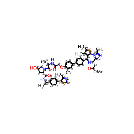 COC(=O)C[C@@H]1N=C(c2ccc(-c3ccc(OCC(=O)NC(C(=O)N4C[C@H](O)C[C@H]4C(=O)N[C@@H](C)c4ccc(-c5scnc5C)cc4)C(C)(C)C)c(C#N)c3)cc2)c2c(sc(C)c2C)-n2c(C)nnc21